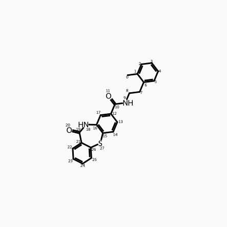 Cc1ccccc1CCNC(=O)c1ccc2c(c1)NC(=O)c1ccccc1S2